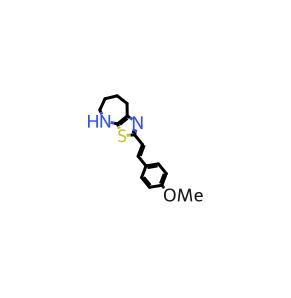 COc1ccc(C=Cc2nc3c(s2)NCCCC3)cc1